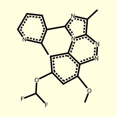 COc1cc(OC(F)F)cc2c1nnc1c(C)nc(-c3cccnc3C)n12